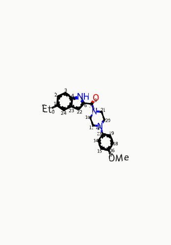 CCc1ccc2[nH]c(C(=O)N3CCN(c4ccc(OC)cc4)CC3)cc2c1